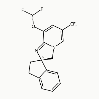 FC(F)OC1=CC(C(F)(F)F)=CN2C[C@@]3(CCc4ccccc43)N=C12